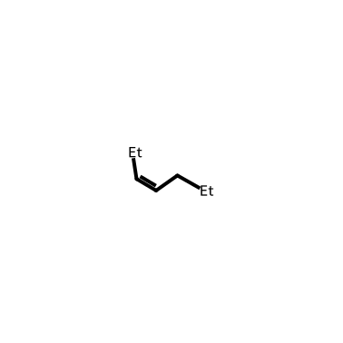 [CH2]CC/C=C\CC